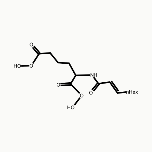 CCCCCCC=CC(=O)NC(CCCC(=O)OO)C(=O)OO